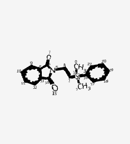 C[Si](C)(C=CN1C(=O)c2ccccc2C1=O)c1ccccc1